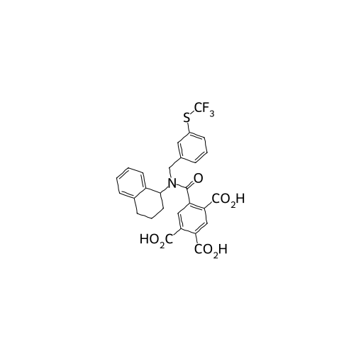 O=C(O)c1cc(C(=O)O)c(C(=O)N(Cc2cccc(SC(F)(F)F)c2)C2CCCc3ccccc32)cc1C(=O)O